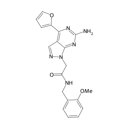 COc1ccccc1CNC(=O)Cn1ncc2c(-c3ccco3)nc(N)nc21